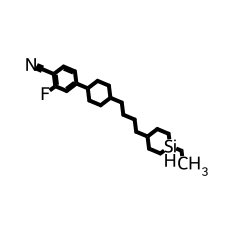 CC[SiH]1CCC(CCCCC2CCC(c3ccc(C#N)c(F)c3)CC2)CC1